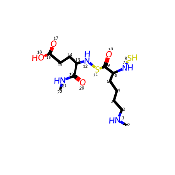 CNCCCCC(NS)C(=O)SNC(CCC(=O)O)C(=O)NC